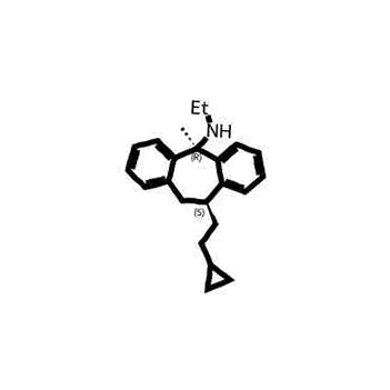 CCN[C@]1(C)c2ccccc2C[C@H](CCC2CC2)c2ccccc21